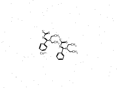 CCN(CC)C(=NC(=S)[S-])c1ccccc1.CCN(CC)C(=NC(=S)[S-])c1ccccc1.[Co+2]